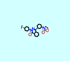 O=C1OCCN1c1cccc(-c2nn(-c3ccc(F)cc3)c(=O)c3ccccc23)c1